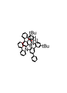 CC(C)(C)c1ccc(N2B3c4c(cc(-c5ccccc5)cc4N(c4ccccc4-c4ccccc4)c4ccc5c(c43)C(C)(C)c3ccccc3-5)-c3cc(C(C)(C)C)ccc32)cc1